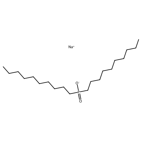 CCCCCCCCCCP(=O)([O-])CCCCCCCCCC.[Na+]